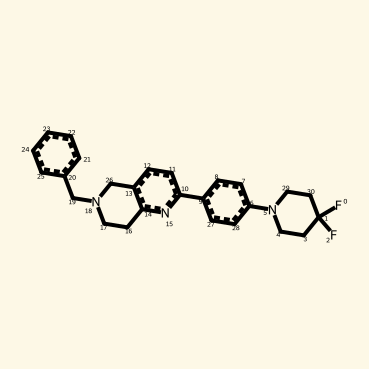 FC1(F)CCN(c2ccc(-c3ccc4c(n3)CCN(Cc3ccccc3)C4)cc2)CC1